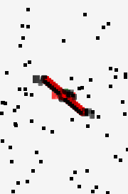 CCCCCCCCCCCCCCCCC(O)C[N+](CC)(CC)CC(O)CCCCCCCCCCCCCCCC.[Cl-]